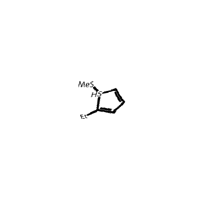 CCC1=CC=C[SH]1SC